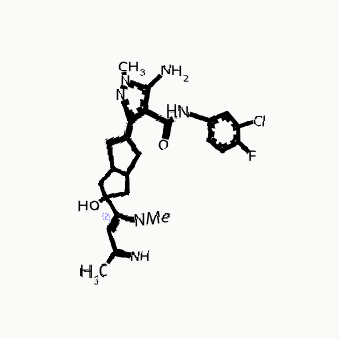 CN/C(=C\C(C)=N)C1(O)CC2CC(c3nn(C)c(N)c3C(=O)Nc3ccc(F)c(Cl)c3)CC2C1